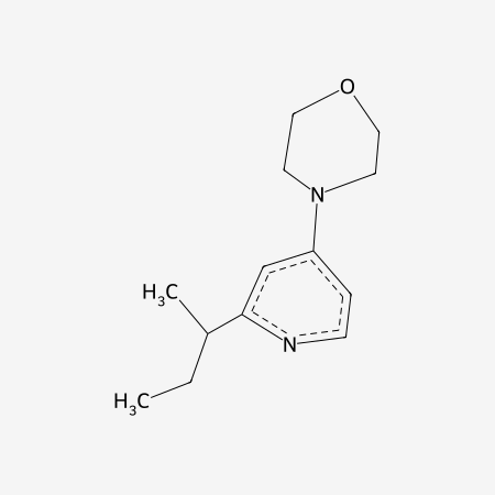 CCC(C)c1cc(N2CCOCC2)ccn1